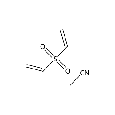 C=CS(=O)(=O)C=C.CC#N